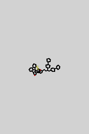 c1ccc(-c2ccc(CC(CCc3ccc(-c4cccc5c4C4(c6ccccc6Sc6ccccc64)c4ccccc4-5)cc3)c3ccc(-c4ccccc4)cc3)cc2)cc1